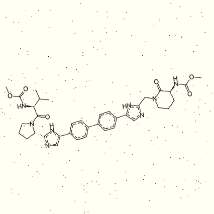 COC(=O)N[C@H]1CCCN(Cc2ncc(-c3ccc(-c4ccc(-c5cnc([C@@H]6CCCN6C(=O)[C@@H](NC(=O)OC)C(C)C)[nH]5)cc4)cc3)[nH]2)C1=O